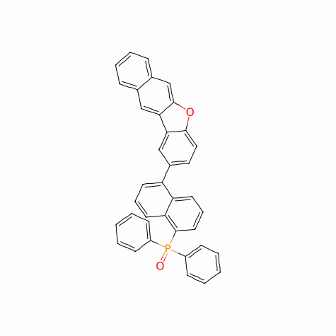 O=P(c1ccccc1)(c1ccccc1)c1cccc2c(-c3ccc4oc5cc6ccccc6cc5c4c3)cccc12